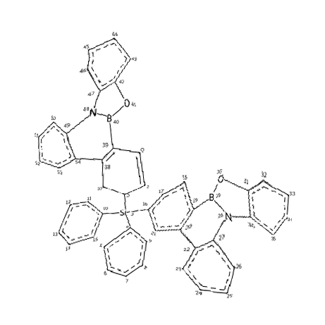 C1=CC([Si](c2ccccc2)(c2ccccc2)c2ccc3c(c2)-c2ccccc2N2B3Oc3ccccc32)CC2=C1B1Oc3ccccc3N1c1ccccc12